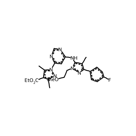 CCOC(=O)c1c(C)nn(-c2cc(Nc3c(C)c(-c4ccc(F)cc4)nn3CCOC)ncn2)c1C